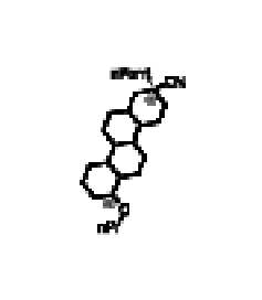 CCCCC[C@]1(C#N)CCC2C(CCC3C2CCC2C3CCC[C@@H]2OCCC)C1